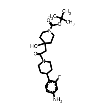 CC(C)(C)OC(=O)N1CCC(O)(CC(=O)N2CCC(c3ccc(N)cc3F)CC2)CC1